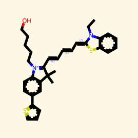 CCN1/C(=C/C=C/C=C/C2=[N+](CCCCCO)c3ccc(-c4cccs4)cc3C2(C)C)Sc2ccccc21